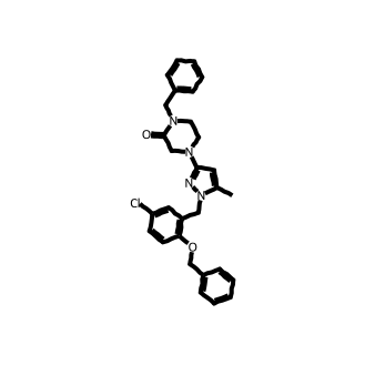 Cc1cc(N2CCN(Cc3ccccc3)C(=O)C2)nn1Cc1cc(Cl)ccc1OCc1ccccc1